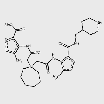 COC(=O)c1scc(C)c1NC(=O)C[N+]1(CC(=O)Nc2c(C)csc2C(=O)NCC2CCNCC2)CCCCCC1